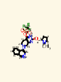 CN1CCC[C@H]1COc1nc2c(c(OS(=O)(=O)C(F)(F)F)n1)CCN(c1cncc3ccccc13)C2